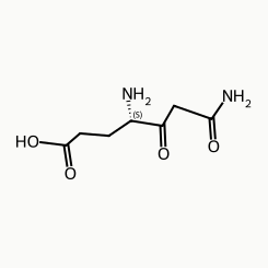 NC(=O)CC(=O)[C@@H](N)CCC(=O)O